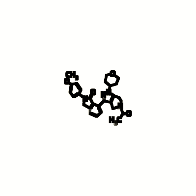 COc1ccc(N2Cc3cccc(-c4nn(C5CCOCC5)c5c4CN(C(C)=O)CC5)c3C2=O)cc1